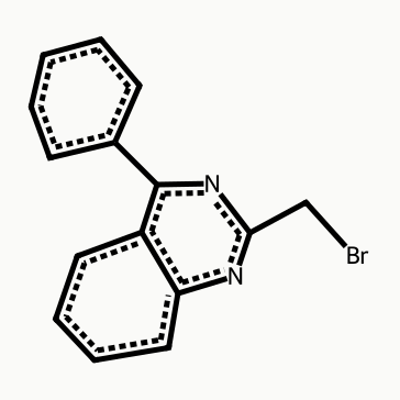 BrCc1nc(-c2ccccc2)c2ccccc2n1